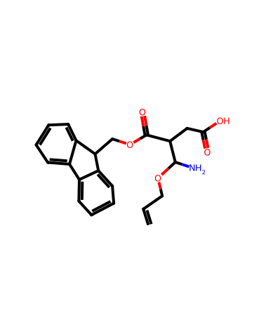 C=CCOC(N)C(CC(=O)O)C(=O)OCC1c2ccccc2-c2ccccc21